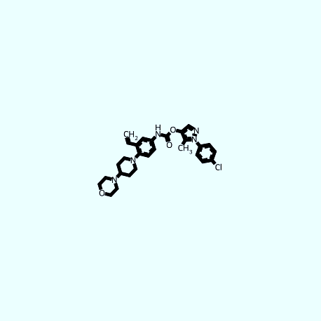 C=Cc1cc(NC(=O)Oc2cnn(-c3ccc(Cl)cc3)c2C)ccc1N1CCC(N2CCOCC2)CC1